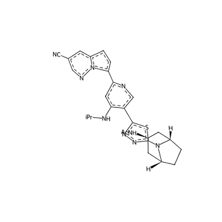 CC(=O)N[C@@H]1C[C@H]2CC[C@@H](C1)N2c1nnc(-c2cnc(-c3ccc4cc(C#N)cnn34)cc2NC(C)C)s1